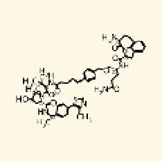 Cc1ncsc1-c1ccc([C@H](C)NC(=O)[C@@H]2C[C@@H](O)CN2C(=O)[C@@H](NC(=O)CCCCc2ccc(COC[C@H](CCC(N)=O)NC(=O)[C@@H]3Cc4cccc5c4N3C(=O)[C@@H](N)CC5)cc2)C(C)(C)C)cc1